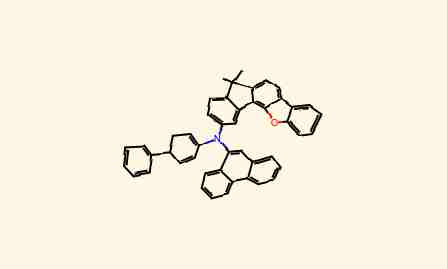 CC1(C)c2ccc(N(C3=CCC(c4ccccc4)C=C3)c3cc4ccccc4c4ccccc34)cc2-c2c1ccc1c2oc2ccccc21